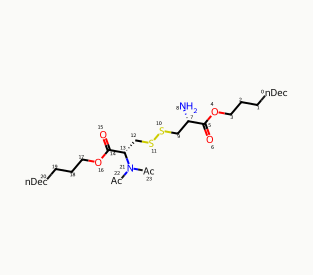 CCCCCCCCCCCCCOC(=O)[C@@H](N)CSSC[C@@H](C(=O)OCCCCCCCCCCCCC)N(C(C)=O)C(C)=O